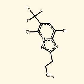 CCCc1nc2c(Cl)cc(C(F)(F)F)c(Cl)n2n1